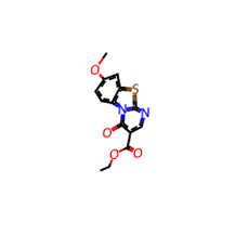 CCOC(=O)c1cnc2sc3cc(OC)ccc3n2c1=O